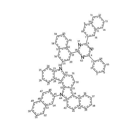 c1ccc(-c2nc(-c3ccc4ccccc4c3)nc(-c3cc(-n4c5ccccc5c5c4ccc4c6c7ccccc7ccc6n(-c6ccc7ccccc7c6)c45)cc4ccccc34)n2)cc1